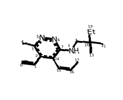 C=Cc1c(C)nnc(NCC(C)(C)CC)c1/C=C\C